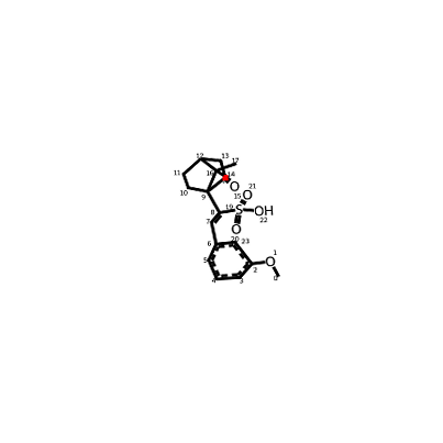 COc1cccc(C=C(C23CCC(CC2=O)C3(C)C)S(=O)(=O)O)c1